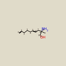 C=CCCCC=CCC(C)(N)CO